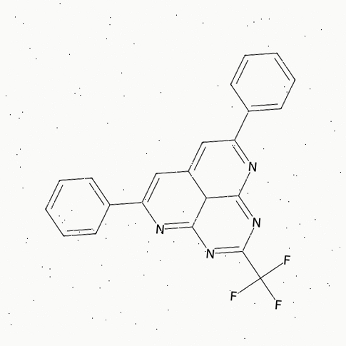 FC(F)(F)C1=NC2=NC(c3ccccc3)=CC3=CC(c4ccccc4)=NC(=N1)C32